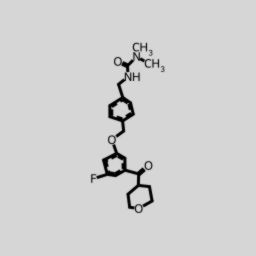 CN(C)C(=O)NCc1ccc(COc2cc(F)cc(C(=O)C3CCOCC3)c2)cc1